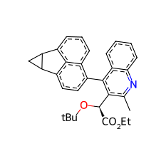 CCOC(=O)[C@@H](OC(C)(C)C)c1c(C)nc2ccccc2c1-c1ccc2c3c(cccc13)C1CC21